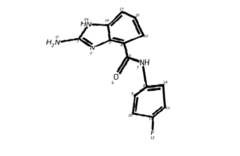 Nc1nc2c(C(=O)Nc3ccc(F)cc3)cccc2[nH]1